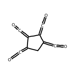 O=C=C1CC(=C=O)C(=C=O)C1=C=O